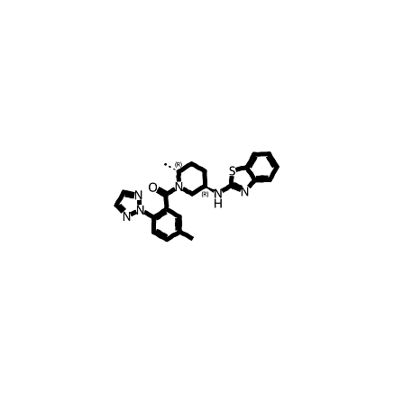 Cc1ccc(-n2nccn2)c(C(=O)N2C[C@H](Nc3nc4ccccc4s3)CC[C@H]2C)c1